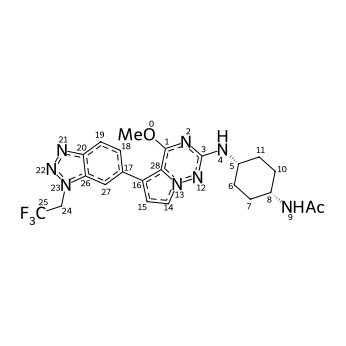 COc1nc(N[C@H]2CC[C@@H](NC(C)=O)CC2)nn2ccc(-c3ccc4nnn(CC(F)(F)F)c4c3)c12